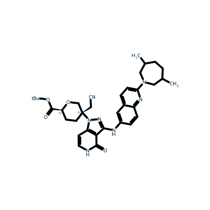 CC1CCC(C)CN(c2ccc3cc(Nc4nn([C@]5(CC#N)CC[C@@H](C(=O)OC(C)(C)C)OC5)c5cc[nH]c(=O)c45)ccc3n2)C1